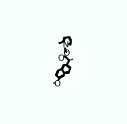 COc1ccc2cc([C@H](C)C(=O)OC[n+]3ccccc3C)ccc2c1